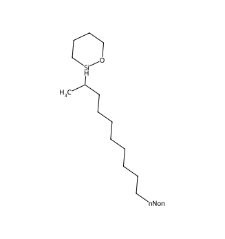 CCCCCCCCCCCCCCCCCC(C)[SiH]1CCCCO1